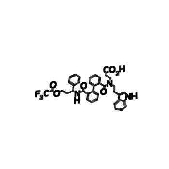 O=C(O)CCN(CCc1c[nH]c2ccccc12)C(=O)c1ccccc1-c1ccccc1C(=O)NC(CCOC(=O)C(F)(F)F)c1ccccc1